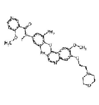 COc1cc2c(Oc3c(P)cc(N(I)C(=O)c4cnccc4OC)cc3P)ccnc2cc1OCCN1CCOCC1